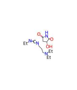 CCN=C=NCCCN(CC)CC.O=C1CC(O)C(=O)N1